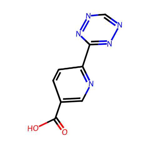 O=C(O)c1ccc(-c2nncnn2)nc1